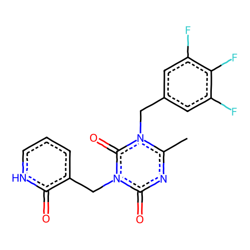 Cc1nc(=O)n(Cc2ccc[nH]c2=O)c(=O)n1Cc1cc(F)c(F)c(F)c1